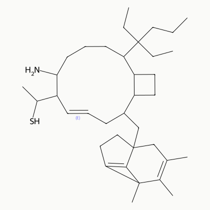 CCCC(CC)(CC)C1CCCC(N)C(C(C)S)/C=C/CC(CC23CCC4=C2C4(C)C(C)=C(C)C3)C2CCC21